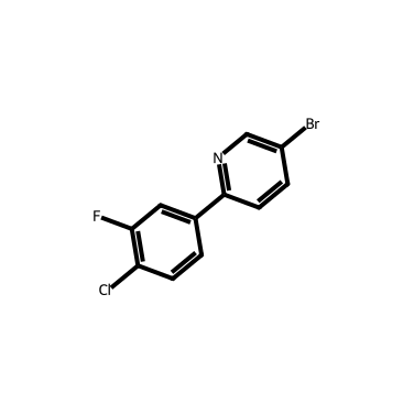 Fc1cc(-c2ccc(Br)cn2)ccc1Cl